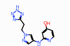 Oc1ccnc(Nc2cnn(CCc3nn[nH]n3)c2)c1